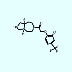 O=C(COc1ccc(C(F)(F)F)cc1Cl)N1CC[C@@H]2CNC[C@@H]2CC1